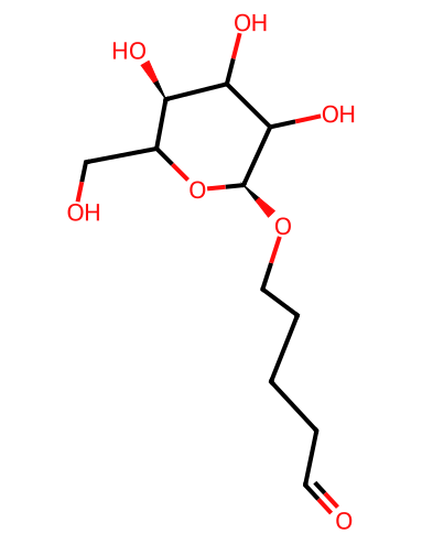 O=CCCCCO[C@H]1OC(CO)[C@@H](O)C(O)C1O